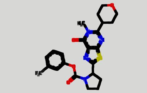 Cn1c(C2CCOCC2)nc2sc(C3CCCN3C(=O)Oc3cccc(C(F)(F)F)c3)nc2c1=O